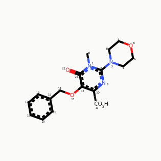 Cn1c(N2CCOCC2)nc(C(=O)O)c(OCc2ccccc2)c1=O